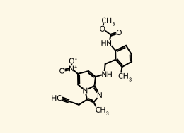 C#CCc1c(C)nc2c(NCc3c(C)cccc3NC(=O)OC)cc([N+](=O)[O-])cn12